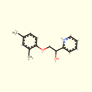 Cc1ccc(OCC(O)c2ccccn2)c(C)c1